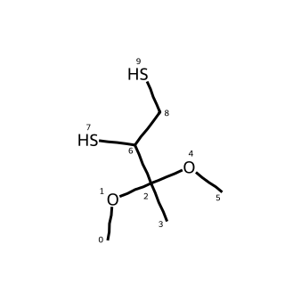 COC(C)(OC)C(S)CS